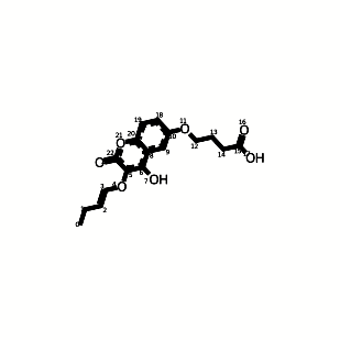 CC/C=C/Oc1c(O)c2cc(OCCCC(=O)O)ccc2oc1=O